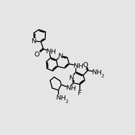 NC(=O)c1cc(F)c(NC2CCCCC2N)nc1Nc1cnc2c(NC(=O)c3ccccn3)cccc2c1